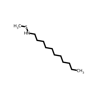 CCCCCCCCCCCNSC